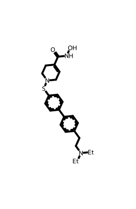 CCN(CC)CCc1ccc(-c2ccc(SN3CC=C(C(=O)NO)CC3)cc2)cc1